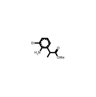 CCc1cccc(C(C)C(=O)OC)c1N